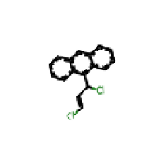 ClC=CC(Cl)c1c2ccccc2cc2ccccc12